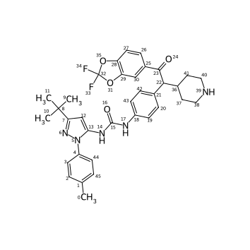 Cc1ccc(-n2nc(C(C)(C)C)cc2NC(=O)Nc2ccc(C(C(=O)c3ccc4c(c3)OC(F)(F)O4)C3CCNCC3)cc2)cc1